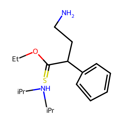 CC(C)NC(C)C.CCOC(=S)C(CCN)c1ccccc1